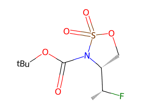 C[C@@H](F)[C@H]1COS(=O)(=O)N1C(=O)OC(C)(C)C